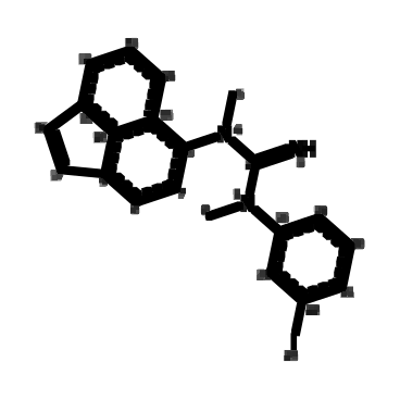 CN(C(=N)N(C)c1ccc2c3c(cccc13)C=C2)c1cccc(I)c1